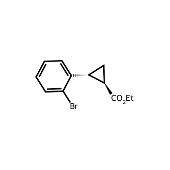 CCOC(=O)[C@@H]1C[C@H]1c1ccccc1Br